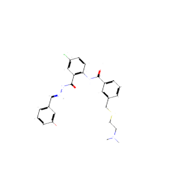 CCN(CC)CCSCc1cccc(C(=O)Nc2ccc(Cl)cc2C(=O)N/N=C/c2cccc(O)c2)c1